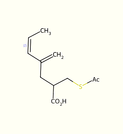 C=C(/C=C\C)CC(CSC(C)=O)C(=O)O